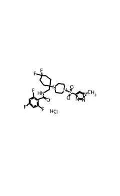 Cl.Cn1cc(S(=O)(=O)N2CCN(C3(CNC(=O)c4c(F)cc(F)cc4F)CCC(F)(F)CC3)CC2)nn1